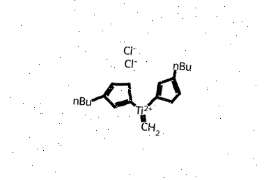 [CH2]=[Ti+2]([C]1=CC(CCCC)=CC1)[C]1=CC(CCCC)=CC1.[Cl-].[Cl-]